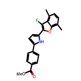 COC(=O)c1ccc(-c2ccc(-c3oc4c(C)ccc(C)c4c3F)[nH]2)cc1